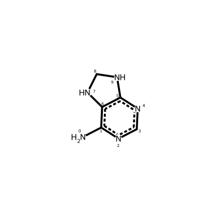 Nc1ncnc2c1NCN2